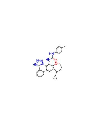 Cc1ccc(NC(=O)Nc2cc(-c3ccccc3-c3nnn[nH]3)cc3c2OCCCC3C2CC2)cc1